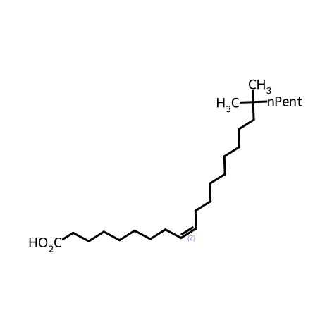 CCCCCC(C)(C)CCCCCCCC/C=C\CCCCCCCC(=O)O